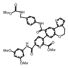 COC(=O)c1nc(C(=O)Nc2cc(OC)cc(OC)c2)ccc1-c1cc2c(cc1C(=O)Nc1ccc(CNC(=O)OC(C)(C)C)cc1)-c1sccc1CCO2